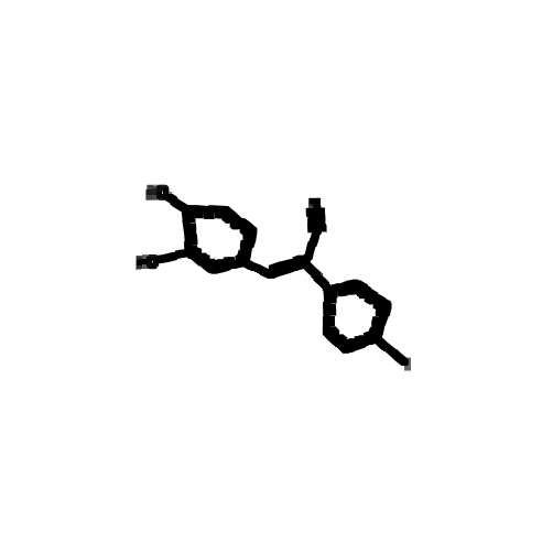 N#C/C(=C\c1ccc(O)c(O)c1)c1ccc(I)cc1